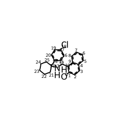 Oc1ccc2ccccc2c1CNC1(c2ccc(Cl)cc2)CCCCC1